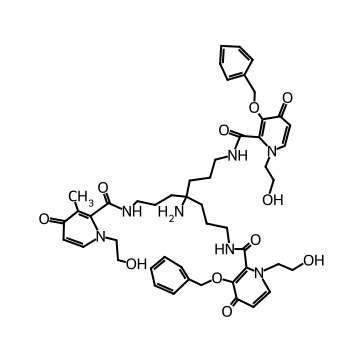 Cc1c(C(=O)NCCCC(N)(CCCNC(=O)c2c(OCc3ccccc3)c(=O)ccn2CCO)CCCNC(=O)c2c(OCc3ccccc3)c(=O)ccn2CCO)n(CCO)ccc1=O